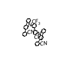 N#Cc1ccccc1-c1ccc2c3ccccc3n(-c3cc(-c4ccc(C(F)(F)F)c(-n5c6ccccc6c6ccc(-c7ccccc7C#N)cc65)c4)ccc3C(F)(F)F)c2c1